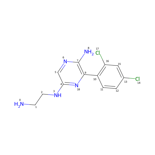 NCCNc1cnc(N)c(-c2ccc(Cl)cc2Cl)n1